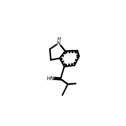 CC(C)C(=N)c1cccc2c1CCN2